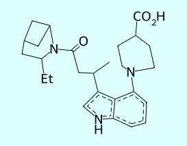 CCC1CC2CC(C2)N1C(=O)CC(C)c1c[nH]c2cccc(N3CCC(C(=O)O)CC3)c12